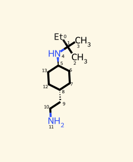 CCC(C)(C)N[C@H]1CC[C@H](CCN)CC1